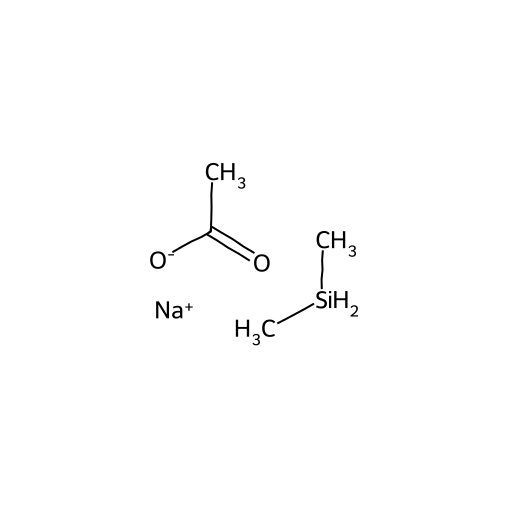 CC(=O)[O-].C[SiH2]C.[Na+]